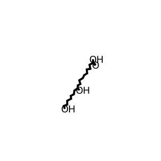 O=C(O)CCCCCCCCCC(O)CCCCCCCO